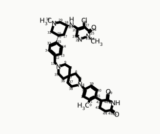 Cc1cc(N2CCC3(CCN(Cc4ccc([C@H]5C[C@@H](Nc6cnn(C)c(=O)c6Cl)CN(C)C5)cc4)CC3)CC2)ccc1C1CCC(=O)NC1=O